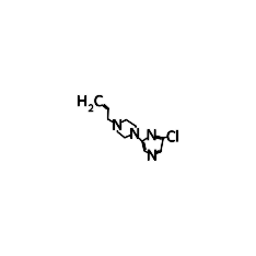 C=CCN1CCN(c2cncc(Cl)n2)CC1